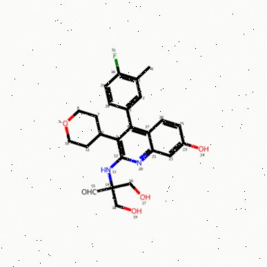 Cc1cc(-c2c(C3CCOCC3)c(NC(C=O)(CO)CO)nc3cc(O)ccc23)ccc1F